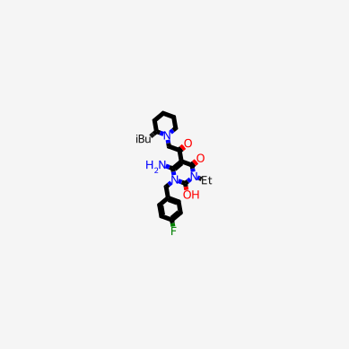 CCC(C)C1CCCCN1CC(=O)C1=C(N)N(Cc2ccc(F)cc2)C(O)N(CC)C1=O